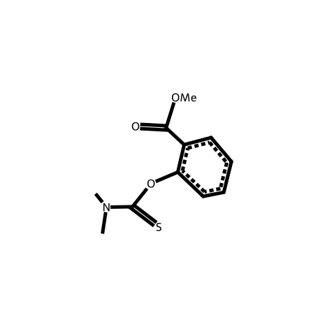 COC(=O)c1ccccc1OC(=S)N(C)C